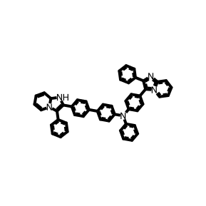 C1=CC2NC(c3ccc(-c4ccc(N(c5ccccc5)c5ccc(-c6c(-c7ccccc7)nc7ccccn67)cc5)cc4)cc3)=C(c3ccccc3)N2C=C1